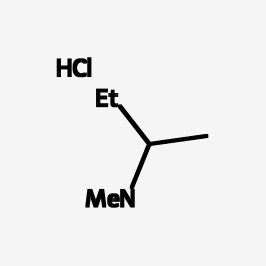 CCC(C)NC.Cl